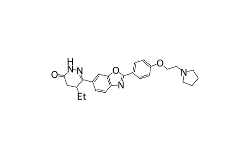 CCC1CC(=O)NN=C1c1ccc2nc(-c3ccc(OCCN4CCCC4)cc3)oc2c1